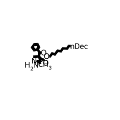 CCCCCCCCCCCCCCCCCCOC(=O)C1=C(C(=O)c2ccccc2)C=NC1(C)N